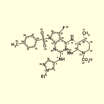 CCn1cc(Nc2nc(N[C@H]3C(C(C)(C)C)N(C(=O)O)CC[C@H]3C)c3c(F)cn(S(=O)(=O)c4ccc(C)cc4)c3n2)cn1